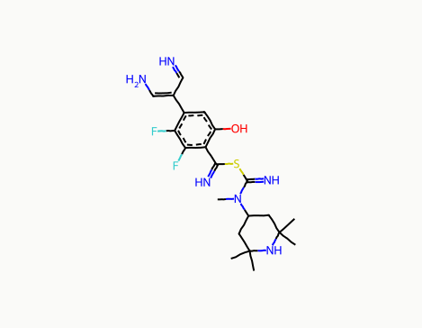 CN(C(=N)SC(=N)c1c(O)cc(/C(C=N)=C/N)c(F)c1F)C1CC(C)(C)NC(C)(C)C1